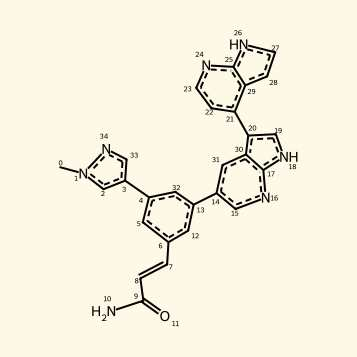 Cn1cc(-c2cc(/C=C/C(N)=O)cc(-c3cnc4[nH]cc(-c5ccnc6[nH]ccc56)c4c3)c2)cn1